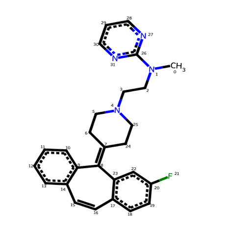 CN(CCN1CCC(=C2c3ccccc3C=Cc3ccc(F)cc32)CC1)c1ncccn1